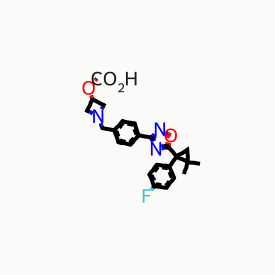 CC1(C)CC1(c1ccc(F)cc1)c1nc(-c2ccc(CN3CC(OC(=O)O)C3)cc2)no1